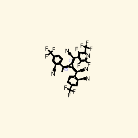 C/C(=C1\C(=C(C#N)c2ccc(C(F)(F)F)cc2C#N)\C1=C(\C#N)c1c(F)c(F)nc(C(F)(F)F)c1F)c1ccc(C(F)(F)F)cc1C#N